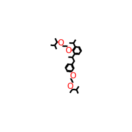 CC(C)c1cccc(C(C)Cc2cccc(OCCOC(C)C(C)C)c2)c1OCCOC(C)C(C)C